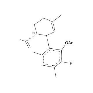 C=C(C)[C@@H]1CCC(C)=CC1c1c(C)cc(C)c(F)c1OC(C)=O